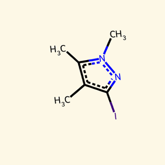 Cc1c(I)nn(C)c1C